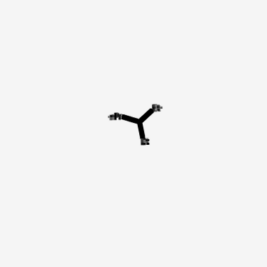 C[CH]C([CH]CC)CC